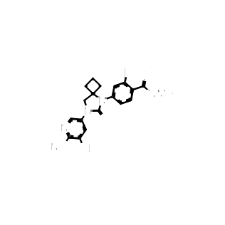 CNC(=O)c1ccc(N2C(=S)N(c3cnc(C#N)c(C(F)(F)F)c3)CC23CCC3)cc1F